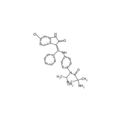 CC(C)N(C(=O)C(C)(C)N)c1ccc(N/C(=C2\C(=O)Nc3cc(Cl)ccc32)c2ccccc2)cc1